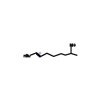 CCCC/C=C/CCCCC(C)[NH]